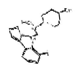 O[C@@H](C[C@H]1c2c(F)cccc2-c2cncn21)[C@H]1CC[C@H](O)CC1